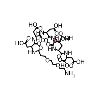 NCCOCCOCCC(=O)NC(CC(=O)O)C(=O)NC(CC(=O)O)C(=O)NC(CC(=O)O)C(=O)NC(CC(=O)O)C(=O)NC(CC(=O)O)C(=O)NC(CC(=O)O)C(=O)O